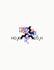 CC(C)CC(C(=O)O)(C(=O)C(C)N)N(C(=O)C(N)CCC(=O)O)C(=O)C(N)CC(=O)O.O